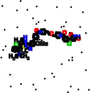 COc1cc2nc(C)nc(NC(C)c3cc(-c4c(Cl)cccc4CN(C)C)cs3)c2cc1C1=CCC(C(=O)N2CCC(CCOCC3CCN(C(=O)c4ccc(Cl)c(C5CCC(=O)NC5=O)c4)CC3)CC2)CC1